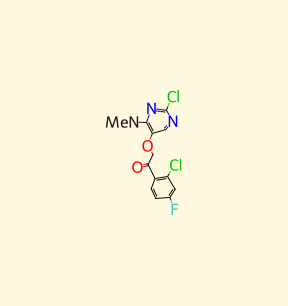 CNc1nc(Cl)ncc1OCC(=O)c1ccc(F)cc1Cl